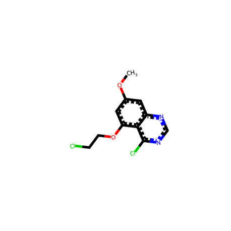 COc1cc(OCCCl)c2c(Cl)ncnc2c1